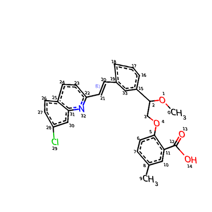 COC(COc1ccc(C)cc1C(=O)O)c1cccc(/C=C/c2ccc3ccc(Cl)cc3n2)c1